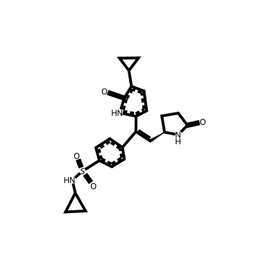 O=C1CC[C@H](C=C(c2ccc(S(=O)(=O)NC3CC3)cc2)c2ccc(C3CC3)c(=O)[nH]2)N1